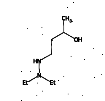 CCN(CC)NCCC(C)O